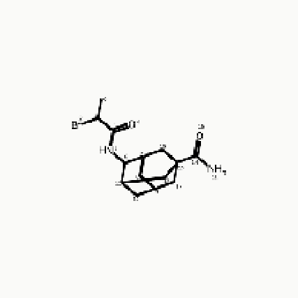 CC(Br)C(=O)NC1C2CC3CC1CC(C(N)=O)(C3)C2